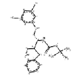 CC(C)(C)OC(=O)N[C@@H](COc1cc(F)cc(F)c1)C(CO)Cc1ccccc1